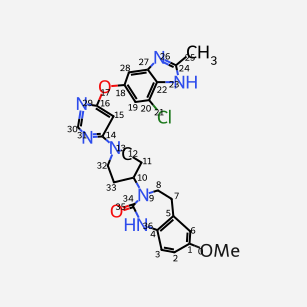 COc1ccc2c(c1)CCN(C1CCN(c3cc(Oc4cc(Cl)c5[nH]c(C)nc5c4)ncn3)CC1)C(=O)N2